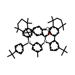 Cc1cc(N(c2ccc(C(C)(C)C)cc2)c2ccc3c(c2)C(C)(C)CCC3(C)C)cc(N(c2ccc(C(C)(C)C)cc2-c2ccc3c(c2)C(C)(C)CCC3(C)C)c2coc3ccc(C(C)(C)C)cc23)c1